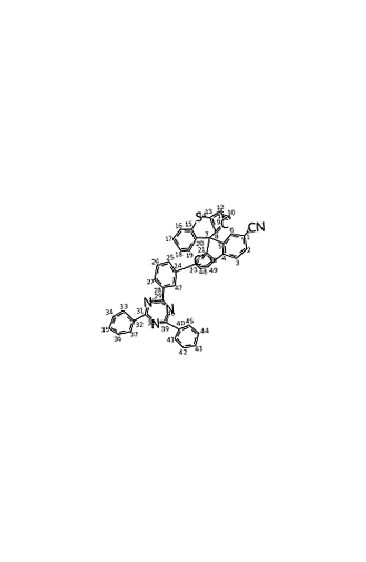 N#Cc1ccc2c(c1)C1(c3ccccc3Sc3ccccc31)c1cc(-c3cccc(-c4nc(-c5ccccc5)nc(-c5ccccc5)n4)c3)ccc1-2